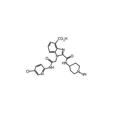 CC(C)N1CCC(NC(=O)c2nc3c(C(=O)O)cccc3n2CC(=O)Nc2ccc(Cl)cn2)CC1